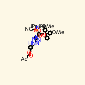 COc1ccc(C(OC[C@H]2O[C@@H](n3cnc4c(NCc5cccc(COC(=O)CCC(C)=O)c5)ncnc43)C[C@@H]2OP(OCCC#N)N(C(C)C)C(C)C)(c2ccccc2)c2ccc(OC)cc2)cc1